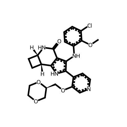 COc1c(Cl)cccc1Nc1c(-c2ccncc2OC[C@H]2COCCO2)[nH]c2c1C(=O)N[C@H]1CC[C@@H]21